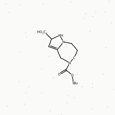 CC(C)(C)OC(=O)N1CCCN2NC(C(=O)O)C=C2C1